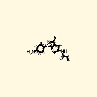 C=CC(=O)Nc1cnc2c(c1)c(C)nn2-c1ccc(N)cc1